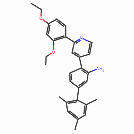 CCOc1ccc(-c2cc(-c3ccc(-c4c(C)cc(C)cc4C)cc3N)ccn2)c(OCC)c1